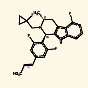 C[C@@H]1Cc2c([nH]c3cccc(F)c23)[C@@H](c2c(F)cc(/C=C/C(=O)O)cc2F)N1CC1(F)CC1